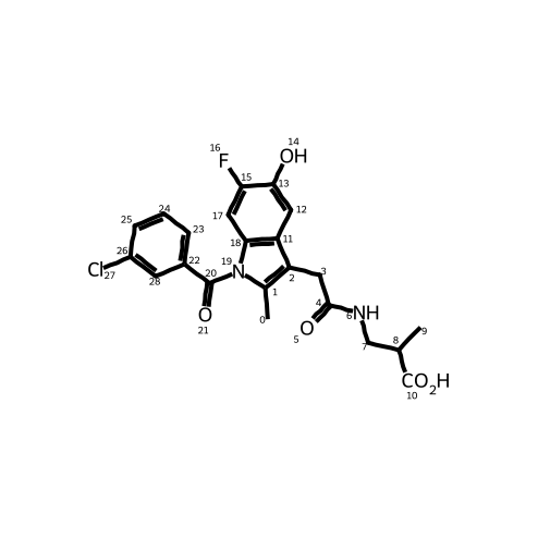 Cc1c(CC(=O)NCC(C)C(=O)O)c2cc(O)c(F)cc2n1C(=O)c1cccc(Cl)c1